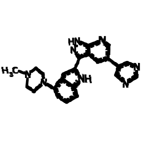 CN1CCN(c2cccc3[nH]c(-c4n[nH]c5ncc(-c6cncnc6)cc45)cc23)CC1